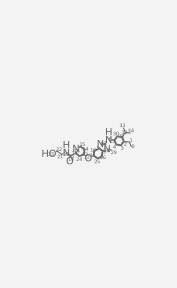 CCc1ccc(Nc2nc3cc(Oc4ccnc(C(=O)NCCO)c4)ccc3n2C)cc1C(C)C